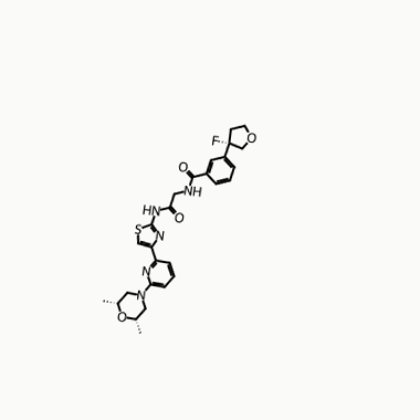 C[C@@H]1CN(c2cccc(-c3csc(NC(=O)CNC(=O)c4cccc([C@@]5(F)CCOC5)c4)n3)n2)C[C@H](C)O1